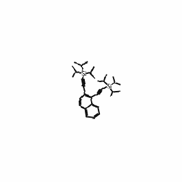 CC(C)[Si](C#Cc1ccc2ccccc2c1C#C[Si](C(C)C)(C(C)C)C(C)C)(C(C)C)C(C)C